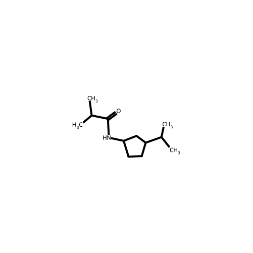 CC(C)C(=O)NC1CCC(C(C)C)C1